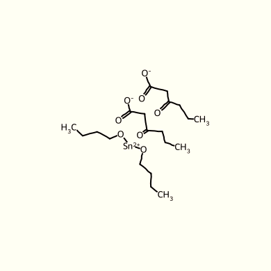 CCCC(=O)CC(=O)[O-].CCCC(=O)CC(=O)[O-].CCCC[O][Sn+2][O]CCCC